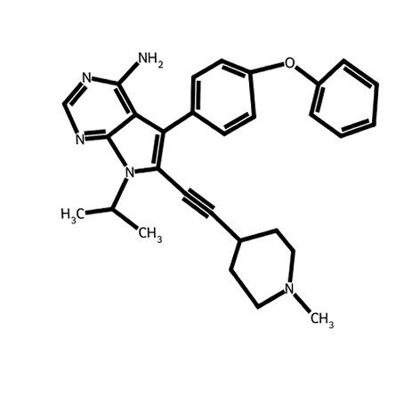 CC(C)n1c(C#CC2CCN(C)CC2)c(-c2ccc(Oc3ccccc3)cc2)c2c(N)ncnc21